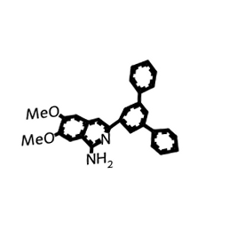 COc1cc2cc(-c3cc(-c4ccccc4)cc(-c4ccccc4)c3)nc(N)c2cc1OC